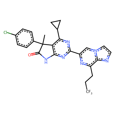 CC1(c2ccc(Cl)cc2)C(=O)Nc2nc(-c3cn4ccnc4c(CCC(F)(F)F)n3)nc(C3CC3)c21